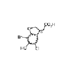 O=C(O)C[C@@H]1COc2c1cc(Cl)c(O)c2Br